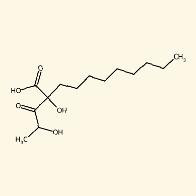 CCCCCCCCCC(O)(C(=O)O)C(=O)C(C)O